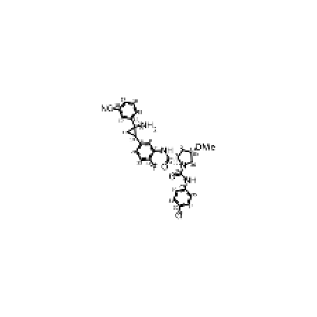 CO[C@H]1C[C@@H](C(=O)Nc2cc(C3CC3(N)c3cccc(C#N)c3)ccc2F)N(C(=O)Nc2ccc(Cl)cc2)C1